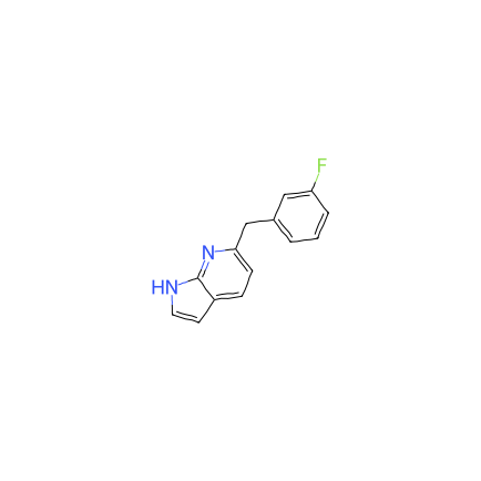 Fc1cccc(Cc2ccc3cc[nH]c3n2)c1